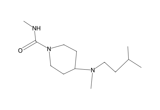 CNC(=O)N1CCC(N(C)CCC(C)C)CC1